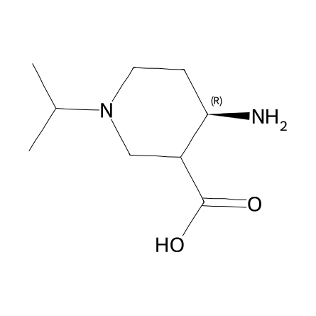 CC(C)N1CC[C@@H](N)C(C(=O)O)C1